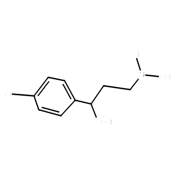 CCOC(=O)C(CCN(C)C)c1ccc(Cl)cc1